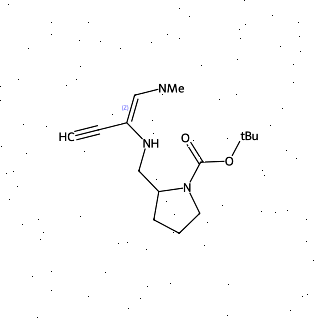 C#C/C(=C/NC)NCC1CCCN1C(=O)OC(C)(C)C